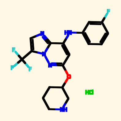 Cl.Fc1cccc(Nc2cc(OC3CCCNC3)nn3c(C(F)(F)F)cnc23)c1